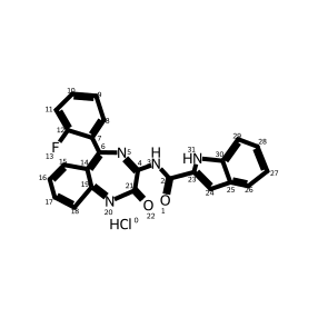 Cl.O=C(Nc1nc(-c2ccccc2F)c2ccccc2nc1=O)c1cc2ccccc2[nH]1